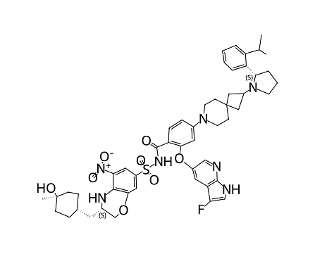 CC(C)c1ccccc1[C@@H]1CCCN1C1CC2(CCN(c3ccc(C(=O)NS(=O)(=O)c4cc5c(c([N+](=O)[O-])c4)N[C@@H](C[C@H]4CC[C@](C)(O)CC4)CO5)c(Oc4cnc5[nH]cc(F)c5c4)c3)CC2)C1